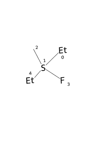 CCS(C)(F)CC